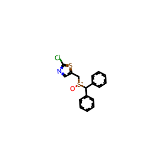 [O-][S+](Cc1cnc(Cl)s1)C(c1ccccc1)c1ccccc1